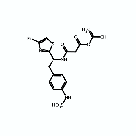 C=C(C)OC(=O)CC(=O)N[C@@H](Cc1ccc(NS(=O)(=O)O)cc1)c1nc(CC)cs1